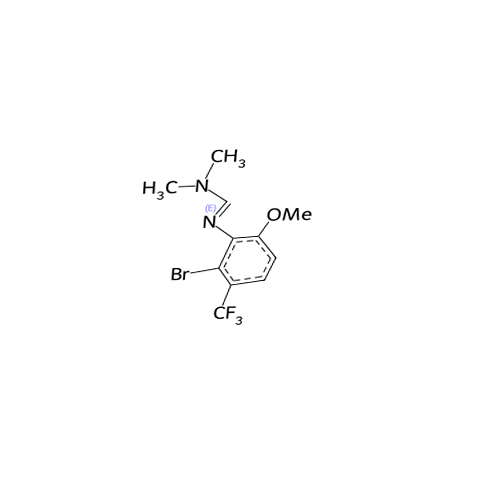 COc1ccc(C(F)(F)F)c(Br)c1/N=C/N(C)C